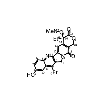 CCc1c2c(nc3ccc(O)cc13)-c1cc3c(c(=O)n1C2)COC(=O)[C@@]3(CC)ONC